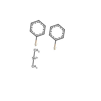 [CH3][Sn+2][CH3].[S-]c1ccccc1.[S-]c1ccccc1